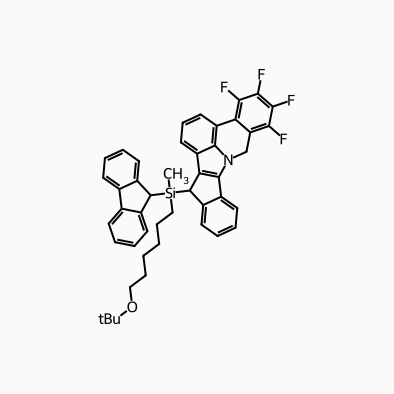 CC(C)(C)OCCCCCC[Si](C)(C1c2ccccc2-c2ccccc21)C1c2ccccc2-c2c1c1cccc3c1n2Cc1c(F)c(F)c(F)c(F)c1-3